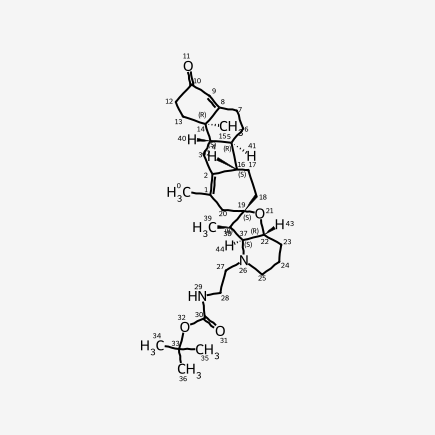 CC1=C2C[C@H]3[C@@H](CCC4=CC(=O)CC[C@@]43C)[C@@H]2CC[C@@]2(C1)O[C@@H]1CCCN(CCNC(=O)OC(C)(C)C)[C@H]1[C@H]2C